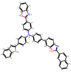 c1ccc2cc(-c3nc4ccc(-c5ccc(N(c6ccc(-c7nc8ccccc8o7)cc6)c6ccc(-c7cc8ccccc8s7)cc6)cc5)cc4o3)ccc2c1